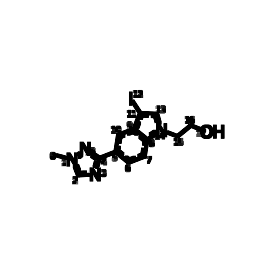 Cn1cnc(-c2ccc3c(c2)c(I)cn3CCO)n1